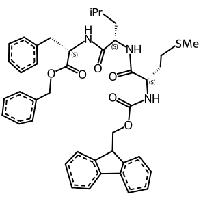 CSCC[C@H](NC(=O)OCC1c2ccccc2-c2ccccc21)C(=O)N[C@@H](CC(C)C)C(=O)N[C@@H](Cc1ccccc1)C(=O)OCc1ccccc1